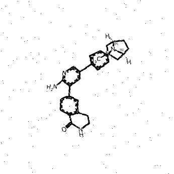 CN1C[C@H]2CC[C@@H](C1)N2c1ccc(-c2cnc(N)c(-c3ccc4c(c3)CCNC4=O)c2)cc1